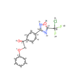 O=C(COc1ccccc1)c1ccc(-c2noc(C(F)(F)Cl)n2)cc1